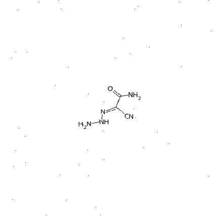 N#C/C(=N\NN)C(N)=O